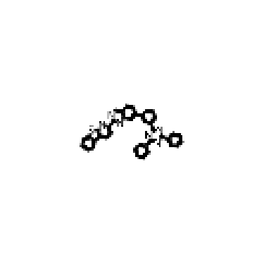 c1ccc(-c2nc(-c3ccccc3)nc(-c3cccc(-c4ccc5cnc(-c6ccc7c(n6)sc6ccccc67)nc5c4)c3)n2)cc1